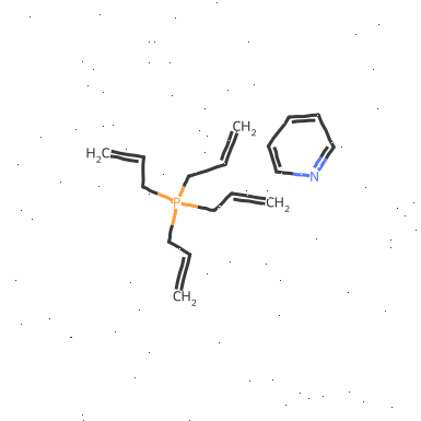 C=CC[P](CC=C)(CC=C)CC=C.c1ccncc1